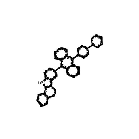 c1ccc(-c2ccc(-c3c4ccccc4c(-c4ccc5[nH]c6c7ccccc7ccc6c5c4)c4ccccc34)cc2)cc1